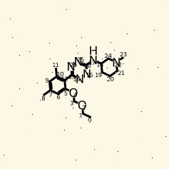 CCOCOc1cc(C)cc(C)c1-c1nnc(NC2CCCN(C)C2)nn1